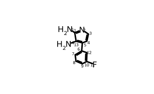 Nc1nccc(-c2cccc(F)c2)c1N